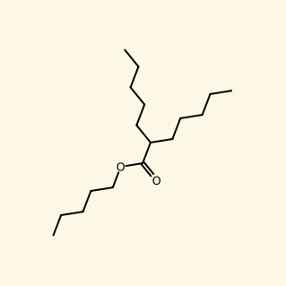 CCCCCOC(=O)C(CCCCC)CCCCC